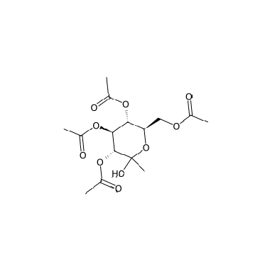 CC(=O)OC[C@H]1OC(C)(O)[C@H](OC(C)=O)[C@@H](OC(C)=O)[C@@H]1OC(C)=O